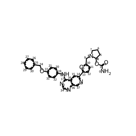 NC(=O)O[C@@H]1CCCN1Cc1ccc(-c2cc3c(Nc4ccc(OCc5ccccc5)cc4)ncnc3cn2)o1